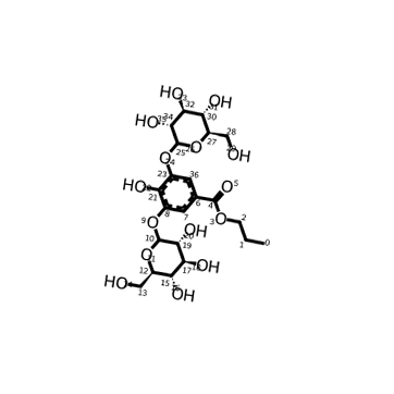 CCCOC(=O)c1cc(OC2O[C@H](CO)[C@@H](O)[C@H](O)[C@H]2O)c(O)c(OC2O[C@H](CO)[C@@H](O)[C@H](O)[C@H]2O)c1